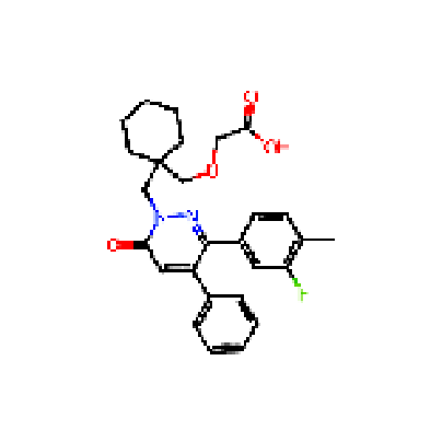 Cc1ccc(-c2nn(CC3(COCC(=O)O)CCCCC3)c(=O)cc2-c2ccccc2)cc1F